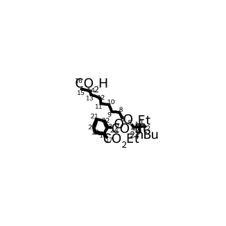 CCCCC(C)(CC)COC(=O)CCCCCCCCC(=O)O.CCOC(=O)c1ccccc1C(=O)OCC